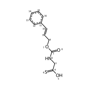 O=C(NCC(O)=S)OC/C=C/c1ccccc1